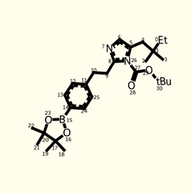 CCC(C)(C)Cc1cnc(CCc2ccc(B3OC(C)(C)C(C)(C)O3)cc2)n1C(=O)OC(C)(C)C